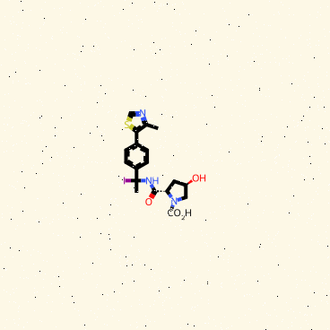 Cc1ncsc1-c1ccc(C(C)(I)NC(=O)[C@@H]2C[C@@H](O)CN2C(=O)O)cc1